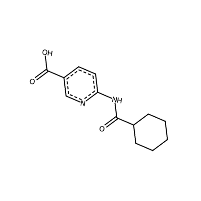 O=C(O)c1ccc(NC(=O)C2CCCCC2)nc1